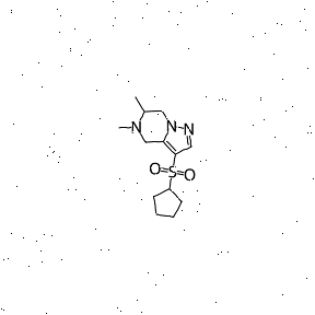 CC1Cn2ncc(S(=O)(=O)C3CCCC3)c2CN1C